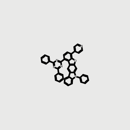 c1ccc(-c2nc(-c3ccccc3)nc(-c3ccc(-c4ccncc4)c4oc5cc6c(cc5c34)c3ccccc3n6-c3ccccc3)n2)cc1